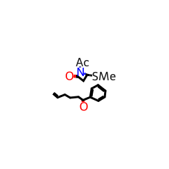 C=CCCCC(=O)c1ccccc1.CSC1CC(=O)N1C(C)=O